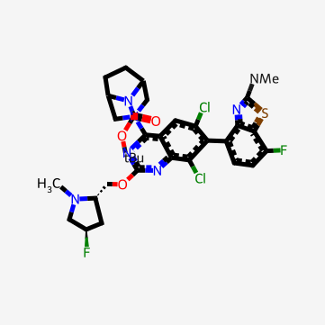 CNc1nc2c(-c3c(Cl)cc4c(N5CC6CCC(C5)N6C(=O)OC(C)(C)C)nc(OC[C@@H]5C[C@@H](F)CN5C)nc4c3Cl)ccc(F)c2s1